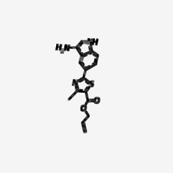 C=CCOC(=O)c1sc(-c2ccc3[nH]cc(N)c3c2)nc1C